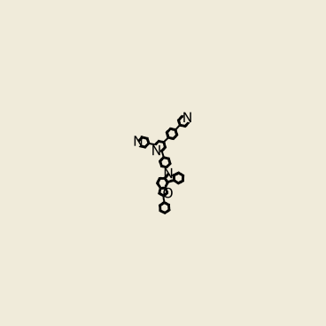 c1ccc(-c2cc3ccc4c(c5ccccc5n4-c4ccc(-c5cc(-c6ccc(-c7ccncc7)cc6)cc(-c6ccncc6)n5)cc4)c3o2)cc1